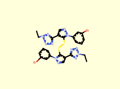 CCn1nnc(-c2cnn(-c3cccc(Br)c3)c2SSc2c(-c3nnn(CC)n3)cnn2-c2cccc(Br)c2)n1